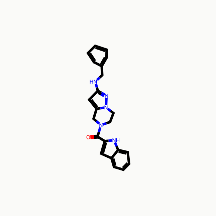 O=C(c1cc2ccccc2[nH]1)N1CCn2nc(NCc3ccccc3)cc2C1